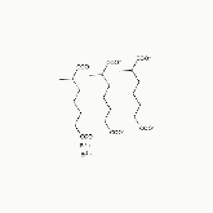 CC(CCCCC(=O)[O-])C(=O)[O-].CC(CCCCC(=O)[O-])C(=O)[O-].CC(CCCCC(=O)[O-])C(=O)[O-].[Bi+3].[Bi+3]